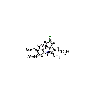 COc1cc(/C=C2/C(C)=C(CC(=O)O)c3cc(F)ccc32)cc(OC)c1OC